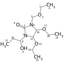 CCOCN1C(=O)N(C(O)CC)C(OCC)C1OCC